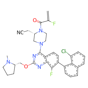 C=C(F)C(=O)N1CCN(c2nc(OC[C@@H]3CCCN3C)nc3c(F)c(-c4cccc5cccc(Cl)c45)ccc23)C[C@@H]1CC#N